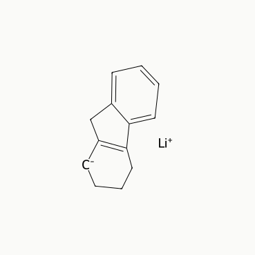 [Li+].c1ccc2c(c1)CC1=C2CCC[CH-]1